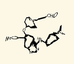 COc1cc2ncnc(Nc3cccc(N(C)C)c3)c2cc1OC1CCN(C=CC=O)CC1